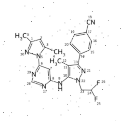 Cc1cc(C)n(-c2cc(Nc3c(C)c(-c4ccc(C#N)cc4)nn3CC(F)F)ncn2)n1